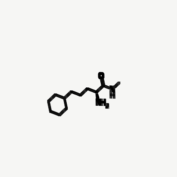 CNC(=O)[C@@H](N)CCCC1CCCCC1